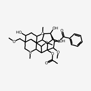 COCC12CN(C)C3C4C(OC)C1C3(C(OC)CC2O)C1CC2(O)C(O)C(OC)C4(OC(C)=O)C1C2OC(=O)c1ccccc1